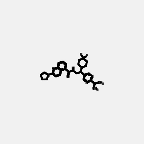 CN(C)c1ncc(C(CNC(=O)c2cccc3nc(N4CCCC4)ccc23)N2CCC(F)(F)CC2)cn1